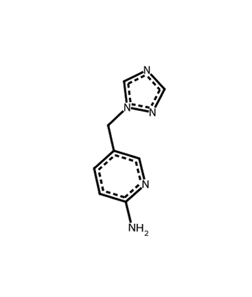 Nc1ccc(Cn2cncn2)cn1